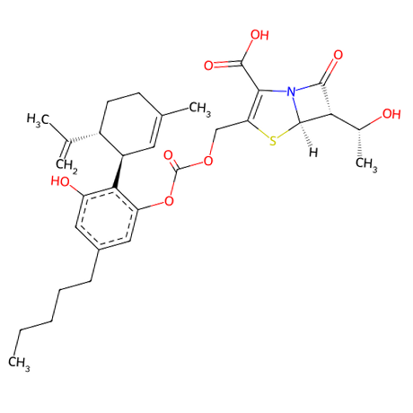 C=C(C)[C@@H]1CCC(C)=C[C@H]1c1c(O)cc(CCCCC)cc1OC(=O)OCC1=C(C(=O)O)N2C(=O)[C@H]([C@@H](C)O)[C@H]2S1